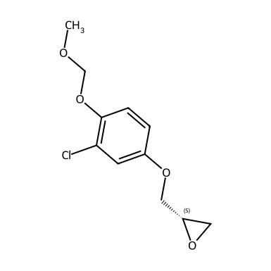 COCOc1ccc(OC[C@@H]2CO2)cc1Cl